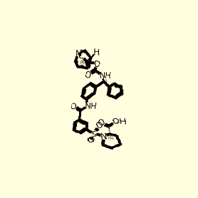 O=C(N[C@@H](c1ccccc1)c1cccc(NC(=O)c2cccc(S(=O)(=O)N3CCCC[C@H]3C(=O)O)c2)c1)O[C@H]1CN2CCC1CC2